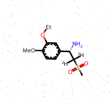 [2H]C([2H])([C@@H](N)c1ccc(OC)c(OCC)c1)S(C)(=O)=O